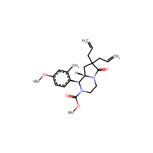 C=CCC1(CC=C)C[C@H]2[C@H](c3ccc(OCCCC)cc3C)N(C(=O)OC(C)(C)C)CCN2C1=O